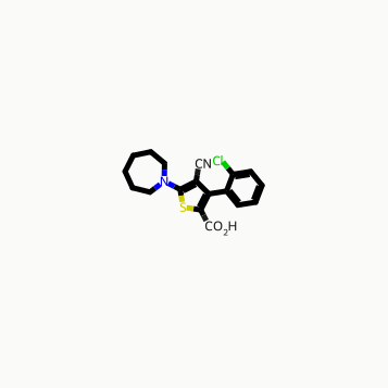 N#Cc1c(N2CCCCCC2)sc(C(=O)O)c1-c1ccccc1Cl